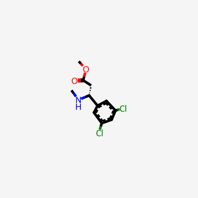 CN[C@H](CC(=O)OC)c1cc(Cl)cc(Cl)c1